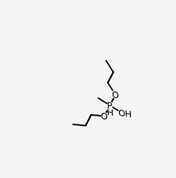 CCCO[PH](C)(O)OCCC